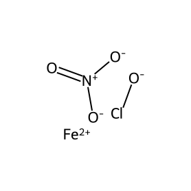 O=[N+]([O-])[O-].[Fe+2].[O-]Cl